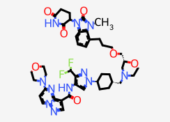 Cn1c(=O)n(C2CCC(=O)NC2=O)c2cccc(CCCOC[C@H]3CN(C[C@H]4CC[C@H](n5cc(NC(=O)c6cnn7ccc(N8CCOCC8)nc67)c(C(F)F)n5)CC4)CCO3)c21